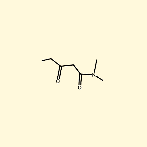 CCC(=O)CC(=O)N(C)C